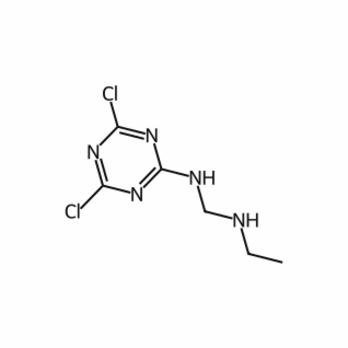 CCNCNc1nc(Cl)nc(Cl)n1